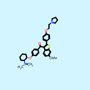 COc1ccc2c(C(=O)c3ccc(O[C@H]4CCCC[C@@H]4N(C)C)cc3)c(-c3ccc(OCCN4CCCC4)cc3)sc2c1